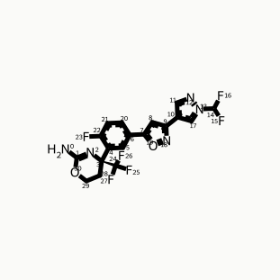 NC1=N[C@@](c2cc(-c3cc(-c4cnn(C(F)F)c4)no3)ccc2F)(C(F)(F)F)CCO1